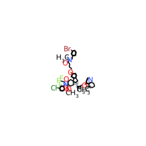 COC(=O)C1(N(C(=O)C(F)(F)F)c2cccc(Cl)c2)CCC2(CC1)c1cc(OCCCC(=O)N(C)Cc3cccc(Br)c3)ccc1C[C@@H]2C[C@@H](C)COc1ccnc2c1[C@H](C)CCC2